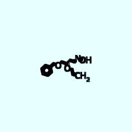 C=CCO[C@H](CC=NO)COCc1ccccc1